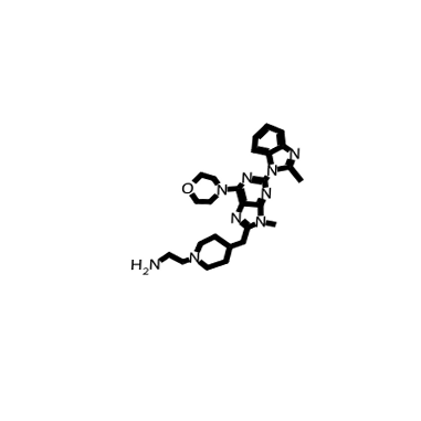 Cc1nc2ccccc2n1-c1nc(N2CCOCC2)c2nc(CC3CCN(CCN)CC3)n(C)c2n1